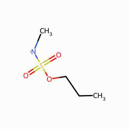 CCCOS(=O)(=O)[N]C